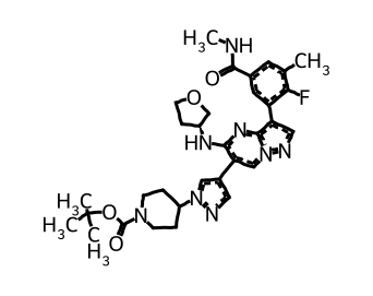 CNC(=O)c1cc(C)c(F)c(-c2cnn3cc(-c4cnn(C5CCN(C(=O)OC(C)(C)C)CC5)c4)c(N[C@H]4CCOC4)nc23)c1